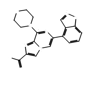 O=C(O)c1cn2cc(-c3cccc4[nH]ncc34)nc(N3CCOCC3)c2n1